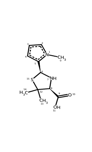 Cn1cccc1[C@H]1N[C@@H](C(=O)O)C(C)(C)S1